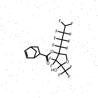 O=C(OC1(C(F)(F)C(F)(F)C(F)(F)C(F)F)COC(O)(C(F)(F)F)C1(F)F)C1CC2C=CC1C2